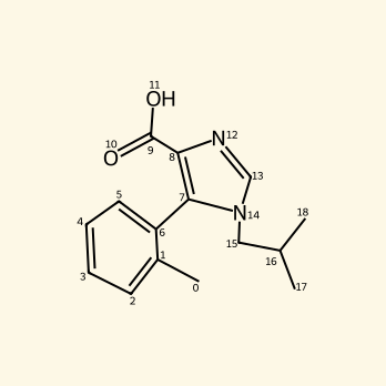 Cc1ccccc1-c1c(C(=O)O)ncn1CC(C)C